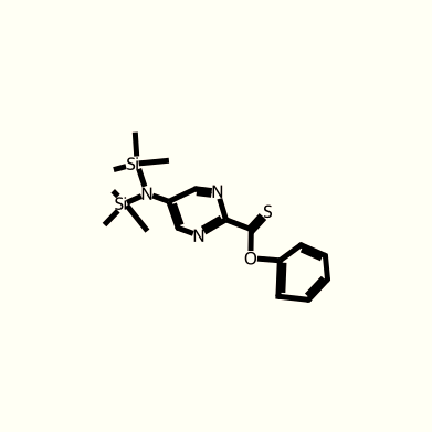 C[Si](C)(C)N(c1cnc(C(=S)Oc2ccccc2)nc1)[Si](C)(C)C